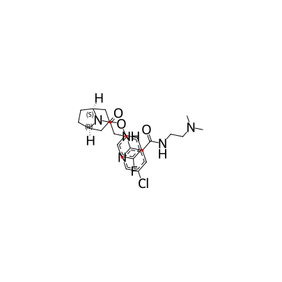 CN(C)CCNC(=O)c1cc(Cl)cnc1NCC(=O)N1[C@@H]2CC[C@H]1CC(Oc1ccc(F)cc1)C2